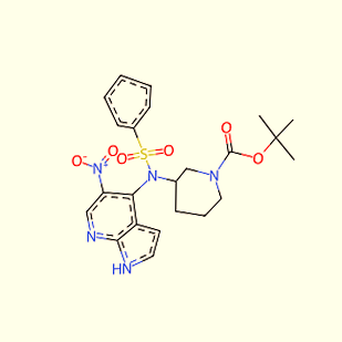 CC(C)(C)OC(=O)N1CCCC(N(c2c([N+](=O)[O-])cnc3[nH]ccc23)S(=O)(=O)c2ccccc2)C1